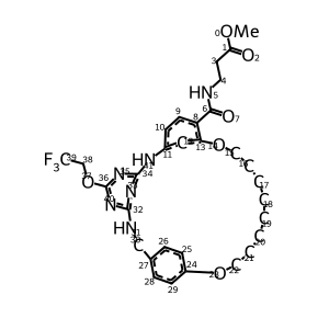 COC(=O)CCNC(=O)c1ccc2cc1OCCCCCCCCOc1ccc(cc1)CNc1nc(nc(OCC(F)(F)F)n1)N2